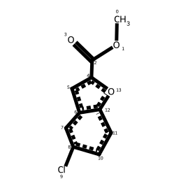 COC(=O)c1cc2cc(Cl)ccc2o1